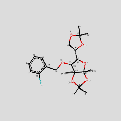 CC1(C)O[C@H]2O[C@H]([C@H]3COC(C)(C)O3)[C@H](OCc3ccccc3F)[C@H]2O1